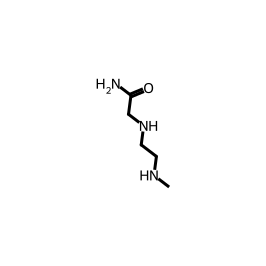 CNCCNCC(N)=O